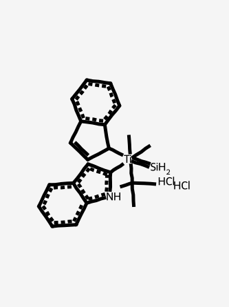 C[C](C)(C)[Ti]([CH3])([CH3])(=[SiH2])([c]1cc2ccccc2[nH]1)[CH]1C=Cc2ccccc21.Cl.Cl